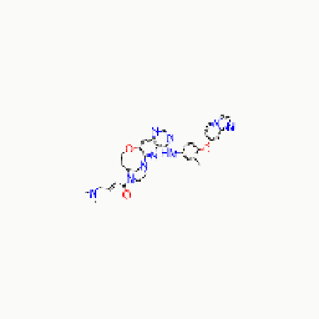 Cc1cc(Nc2ncnc3cc4c(nc23)N2CCN(C(=O)/C=C/CN(C)C)C(CCO4)C2)ccc1Oc1ccn2ccnc2c1